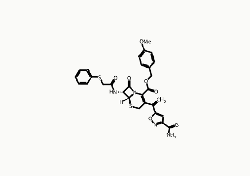 C=C(C1=C(C(=O)OCc2ccc(OC)cc2)N2C(=O)[C@@H](NC(=O)CSc3ccccc3)[C@H]2SC1)c1cc(C(N)=O)no1